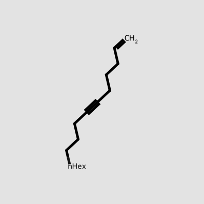 C=CCCCC#CCCCCCCCCC